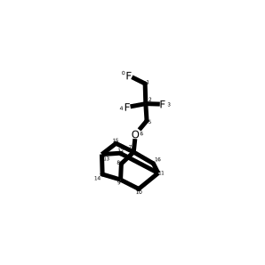 FCC(F)(F)COC12CC3CC(CC(C3)C1)C2